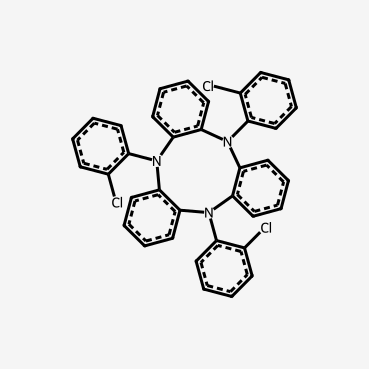 Clc1ccccc1N1c2ccccc2N(c2ccccc2Cl)c2ccccc2N(c2ccccc2Cl)c2ccccc21